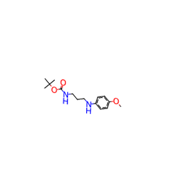 COc1ccc(NCCCNC(=O)OC(C)(C)C)cc1